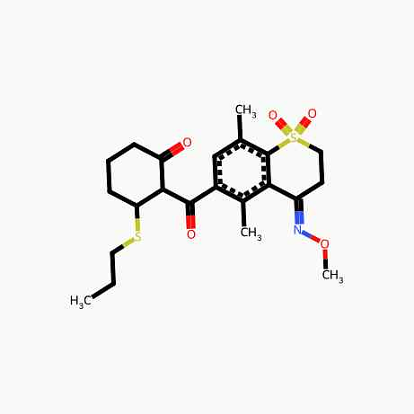 CCCSC1CCCC(=O)C1C(=O)c1cc(C)c2c(c1C)C(=NOC)CCS2(=O)=O